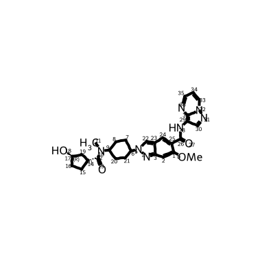 COc1cc2nn(C3CCC(N(C)C(=O)[C@@H]4CC[C@@H](O)C4)CC3)cc2cc1C(=O)Nc1cnn2cccnc12